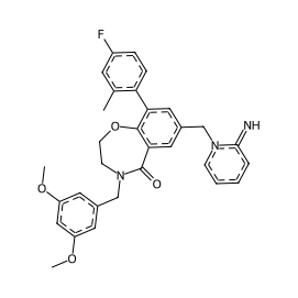 COc1cc(CN2CCOc3c(cc(Cn4ccccc4=N)cc3-c3ccc(F)cc3C)C2=O)cc(OC)c1